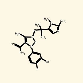 Cn1c(C(C)(C)ON2ON(c3ccc(F)c(Br)c3)C(C(=N)N)=C2N)cnc1[N+](=O)[O-]